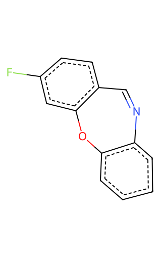 Fc1ccc2c(c1)Oc1ccccc1N=C2